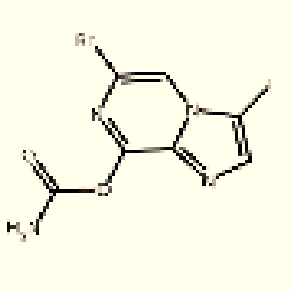 NC(=O)Oc1nc(Br)cn2c(I)cnc12